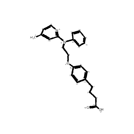 Cc1ccnc(N(CCOc2ccc(CCCC(=O)O)cc2)c2ccccc2)c1